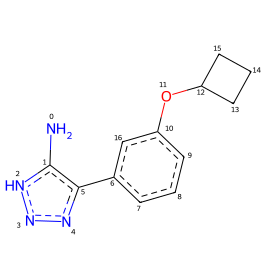 Nc1[nH]nnc1-c1cccc(OC2CCC2)c1